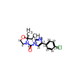 CCC1(C)OCCN1C(=O)n1cnc(-c2ccc(Cl)cc2)c1